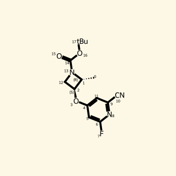 C[C@@H]1[C@@H](Oc2cc(F)nc(C#N)c2)CN1C(=O)OC(C)(C)C